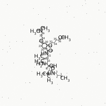 CCCCNC(=O)[C@@H](C[C@H](O)[C@@H](N)C[C@H](CNC(=O)c1ccc(OCCCN(C)C)cc1OCCCCOC)C(C)C)C(C)C